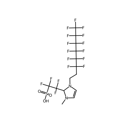 CN1C=CN(CCC(F)(F)C(F)(F)C(F)(F)C(F)(F)C(F)(F)C(F)(F)F)C1C(F)(F)C(F)(F)S(=O)(=O)O